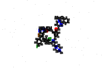 COc1ccccc1-c1nccc(COc2ccc3cc2C[C@H](C(=O)O)Oc2ncnc4sc(-c5ccc(F)cc5)c(c24)-c2ccc(c(Cl)c2C)CN(CCN2CCN(C)CC2)C3)n1